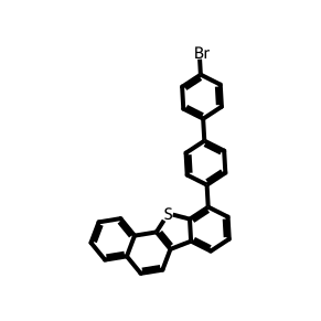 Brc1ccc(-c2ccc(-c3cccc4c3sc3c5ccccc5ccc43)cc2)cc1